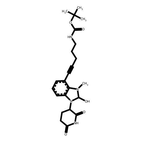 CN1c2c(C#CCCCNC(=O)OC(C)(C)C)cccc2N(C2CCC(=O)NC2=O)C1O